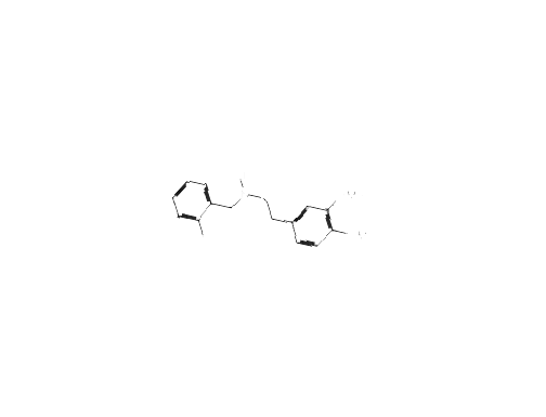 COc1ccc(CCN(C=O)Cc2ccccc2Cl)cc1OC